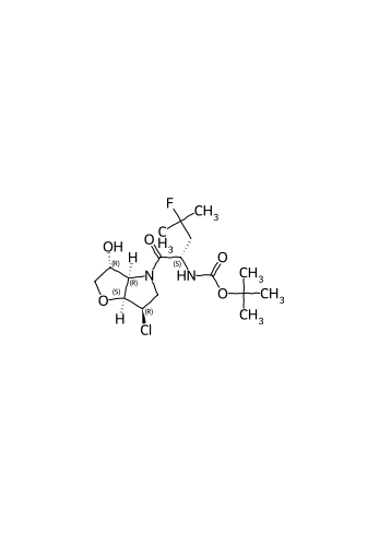 CC(C)(F)C[C@H](NC(=O)OC(C)(C)C)C(=O)N1C[C@@H](Cl)[C@H]2OC[C@H](O)[C@H]21